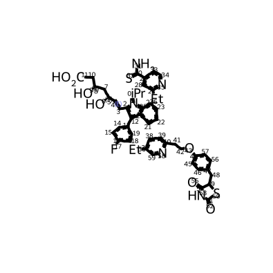 CC(C)n1c(/C=C/[C@@H](O)C[C@@H](O)CC(=O)O)c(-c2ccc(F)cc2)c2ccccc21.CCc1cc(C(N)=S)ccn1.CCc1ccc(CCOc2ccc(CC3SC(=O)NC3=O)cc2)nc1